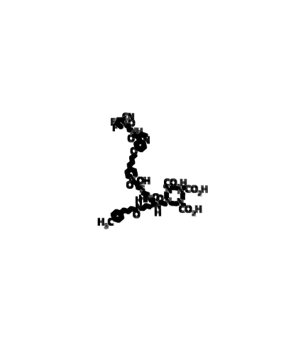 Cc1ccc(CCCC(=O)NCCC[C@H](NC(=O)CN2CCN(CC(=O)O)CCN(CC(=O)O)CCN(CC(=O)O)CC2)C(=O)NCCSC[C@@H](O)C(=O)N2CCC(CCCCOc3ccc4nccc(C(=O)NCC(=O)N5CC(F)(F)C[C@@H]5C#N)c4c3)CC2)cc1